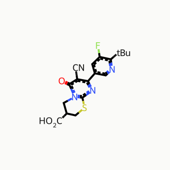 CC(C)(C)c1ncc(-c2nc3n(c(=O)c2C#N)CC(C(=O)O)CS3)cc1F